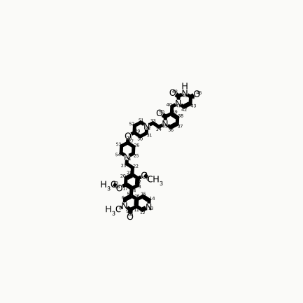 COc1cc(-c2cn(C)c(=O)c3cnccc23)c(OC)cc1CCN1CCC(OC2CCN(CCn3cccc(Cn4ccc(=O)[nH]c4=O)c3=O)CC2)CC1